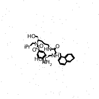 CC(C)CN([C@H](CO)CCCNC(=O)[C@H](Cc1cccc2ccccc12)NCC(=O)O)S(=O)(=O)c1ccc(N)cc1